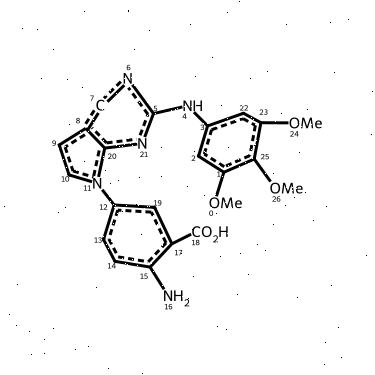 COc1cc(Nc2ncc3ccn(-c4ccc(N)c(C(=O)O)c4)c3n2)cc(OC)c1OC